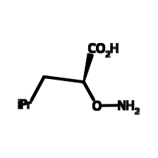 CC(C)C[C@H](ON)C(=O)O